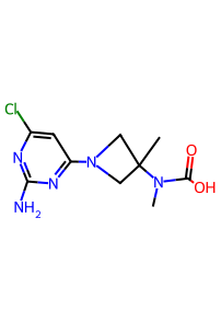 CN(C(=O)O)C1(C)CN(c2cc(Cl)nc(N)n2)C1